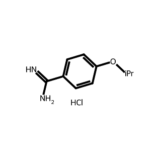 CC(C)Oc1ccc(C(=N)N)cc1.Cl